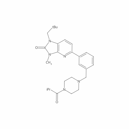 CC(C)C(=O)N1CCN(Cc2cccc(-c3ccc4c(n3)n(C)c(=O)n4CC(C)(C)C)c2)CC1